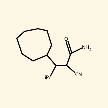 CC(C)C(C1CCCCCCC1)C(C#N)C(N)=O